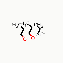 CCC[O-].CCC[O-].C[CH2][Al+2]